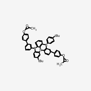 CC1OC1Oc1ccc(-c2cccc(B3c4ccc(C(C)(C)C)cc4N4c5ccc(-c6ccc(OC7OC7C)cc6)cc5B(c5ccc(C(C)(C)C)cc5)c5cccc3c54)c2)cc1